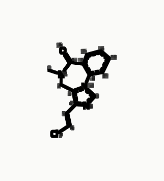 CN1Cc2c(C=CCl)ncn2-c2ccccc2C1=O